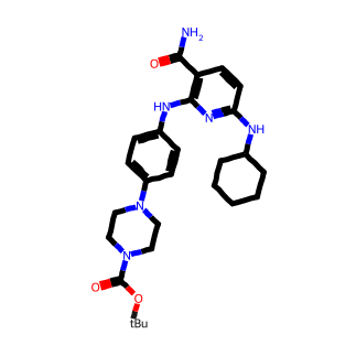 CC(C)(C)OC(=O)N1CCN(c2ccc(Nc3nc(NC4CCCCC4)ccc3C(N)=O)cc2)CC1